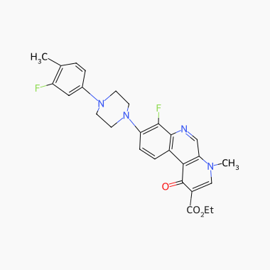 CCOC(=O)c1cn(C)c2cnc3c(F)c(N4CCN(c5ccc(C)c(F)c5)CC4)ccc3c2c1=O